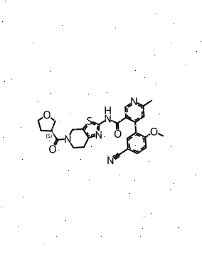 COc1ccc(C#N)cc1-c1cc(C)ncc1C(=O)Nc1nc2c(s1)CN(C(=O)[C@H]1CCOC1)CC2